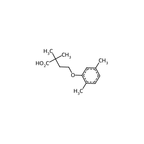 Cc1ccc(C)c(OCCC(C)(C)C(=O)O)c1